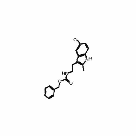 Cc1[nH]c2ccc(Cl)cc2c1CCNC(=O)OCc1ccccc1